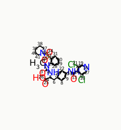 CN(C(=O)NC(Cc1ccc(NC(=O)c2c(Cl)cncc2Cl)cc1)C(=O)O)c1ccccc1S(=O)(=O)N1CCCCC1